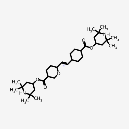 CC1(C)CC(OC(=O)C2CCC(/C=C/C3CCC(C(=O)OC4CC(C)(C)NC(C)(C)C4)CO3)CC2)CC(C)(C)N1